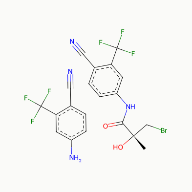 C[C@](O)(CBr)C(=O)Nc1ccc(C#N)c(C(F)(F)F)c1.N#Cc1ccc(N)cc1C(F)(F)F